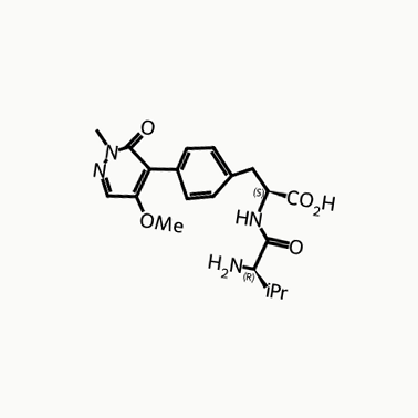 COc1cnn(C)c(=O)c1-c1ccc(C[C@H](NC(=O)[C@H](N)C(C)C)C(=O)O)cc1